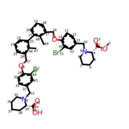 COC(=O)[C@@H]1CCCCN1Cc1ccc(OCc2cccc(-c3cccc(COc4ccc(CN5CCCC[C@H]5C(=O)O)cc4Br)c3C)c2C)c(Br)c1